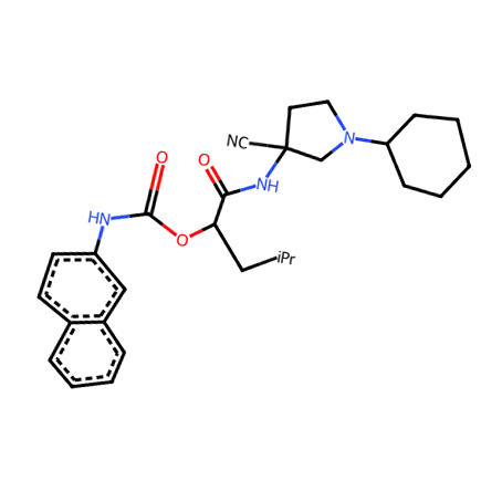 CC(C)CC(OC(=O)Nc1ccc2ccccc2c1)C(=O)NC1(C#N)CCN(C2CCCCC2)C1